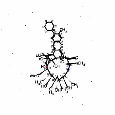 CCOc1c(C)c(O)c2c(=O)c3c4oc5cc(C)c(C6CCCCC6)cc5nc-4c2c1C(=O)O/C=C/[C@H](OC)[C@@H](C)[C@@H](O)[C@H](C)[C@H](O)[C@H](C)[C@@H](O)[C@@H](C)/C=C/C=C(/C)C(=O)N3